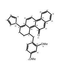 COc1ccc(CC2CCC(n3cccc3)=c3ccc4c(c32)C(=O)C=c2ccccc2=4)c(OC)c1